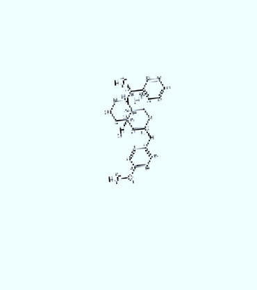 COc1ccc(C[C@@H]2CC[C@H]3[C@@H](CCCN3[C@@H](C)c3ccccc3)C2)cc1